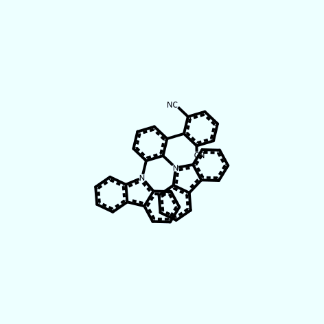 N#Cc1cccc(C#N)c1-c1cccc(-n2c3ccccc3c3ccccc32)c1-n1c2ccccc2c2ccccc21